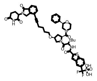 CC(C)(C)C(NC(=O)c1cc2cc(C(F)(F)P(=O)(O)O)ccc2s1)C(=O)N1C[C@@H](OCCCCC#Cc2cccc3c2CN(C2CCC(=O)NC2=O)C3=O)C[C@H]1C(=O)N1CCO[C@H](c2ccccc2)C1